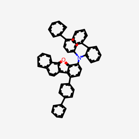 c1ccc(-c2ccc(-c3ccc(N(c4ccc(-c5ccccc5)cc4)c4ccccc4-c4ccccc4)c4oc5c6ccccc6ccc5c34)cc2)cc1